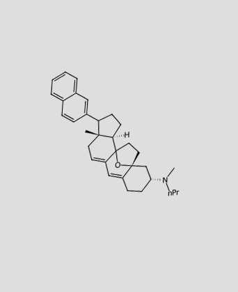 CCCN(C)[C@@H]1CCC2=CC3=CC[C@]4(C)C(c5ccc6ccccc6c5)CC[C@H]4C34CC[C@]2(C1)O4